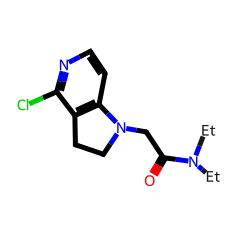 CCN(CC)C(=O)CN1CCc2c1ccnc2Cl